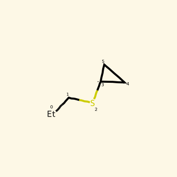 CCCS[C]1CC1